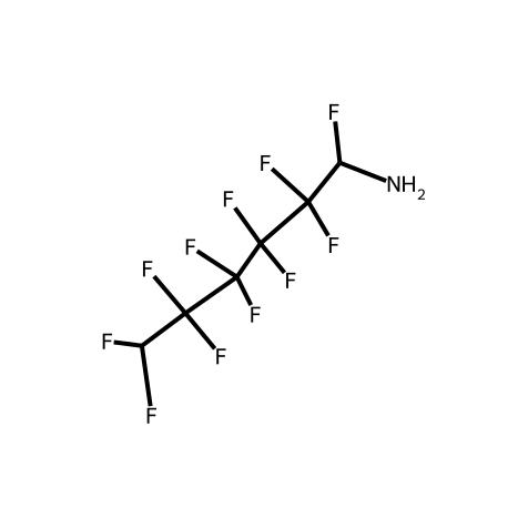 NC(F)C(F)(F)C(F)(F)C(F)(F)C(F)(F)C(F)F